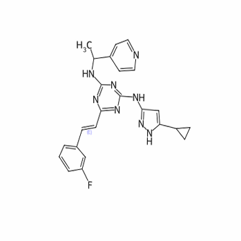 CC(Nc1nc(/C=C/c2cccc(F)c2)nc(Nc2cc(C3CC3)[nH]n2)n1)c1ccncc1